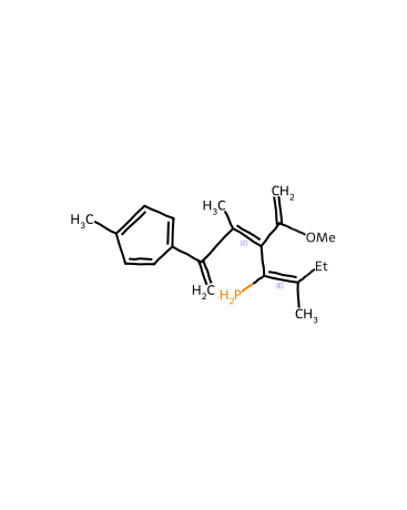 C=C(OC)C(=C(\C)C(=C)c1ccc(C)cc1)/C(P)=C(/C)CC